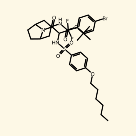 CCCCCCOc1ccc(S(=O)(=O)NC(C(=O)N2C3CCC2CC(NC(=O)OC(C)(C)C)C3)C(F)(F)c2ccc(Br)cc2)cc1